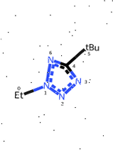 CCn1nnc(C(C)(C)C)n1